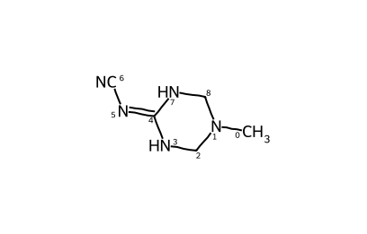 CN1CNC(=NC#N)NC1